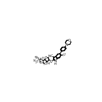 CC(C)(C)[Si](C)(C)OC1CO[C@H]2[C@@H]1OC[C@H]2Oc1[nH]c2cc(Cl)c(-c3ccc(N4CCOCC4)cc3)cc2c1C#N